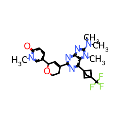 CN(C)c1nc2nc(C3=CC(c4ccc(=O)n(C)c4)OCC3)nc(C34CC(C(F)(F)F)(C3)C4)c2n1C